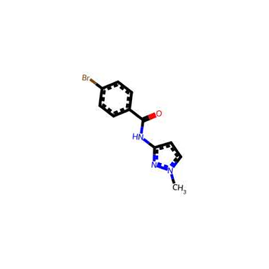 Cn1ccc(NC(=O)c2ccc(Br)cc2)n1